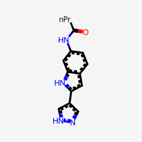 CCCC(=O)Nc1ccc2cc(-c3cn[nH]c3)[nH]c2c1